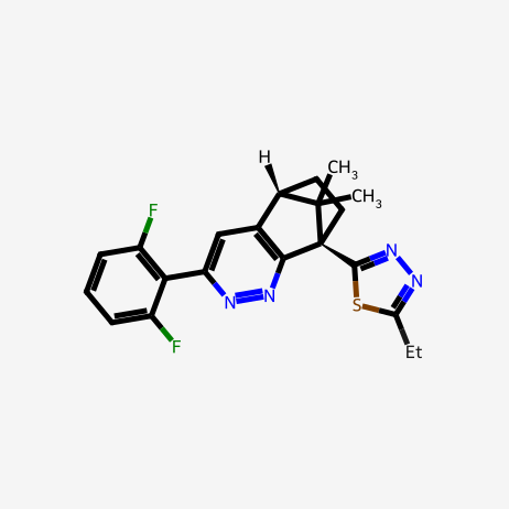 CCc1nnc([C@@]23CC[C@@H](c4cc(-c5c(F)cccc5F)nnc42)C3(C)C)s1